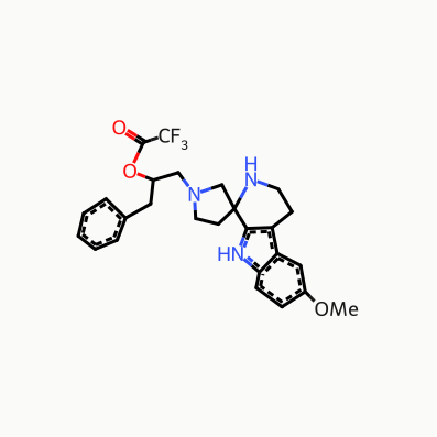 COc1ccc2[nH]c3c(c2c1)CCNC31CCN(CC(Cc2ccccc2)OC(=O)C(F)(F)F)C1